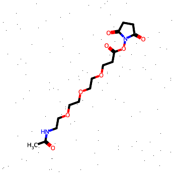 CC(=O)NCCOCCOCCOCCC(=O)ON1C(=O)CCC1=O